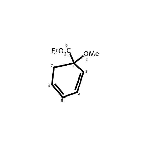 CCOC(=O)C1(OC)C=CC=CC1